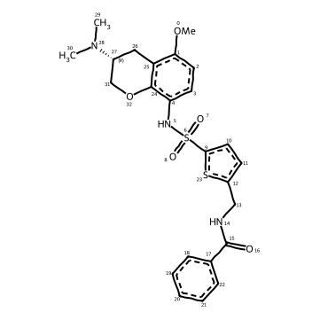 COc1ccc(NS(=O)(=O)c2ccc(CNC(=O)c3ccccc3)s2)c2c1C[C@@H](N(C)C)CO2